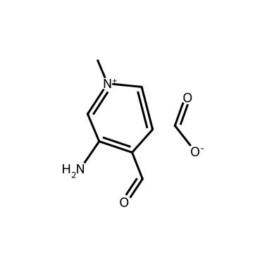 C[n+]1ccc(C=O)c(N)c1.O=C[O-]